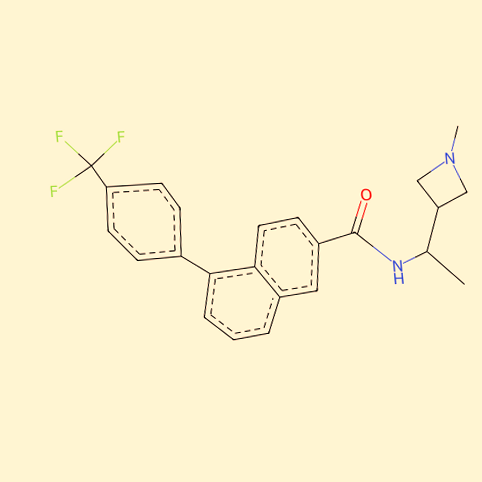 CC(NC(=O)c1ccc2c(-c3ccc(C(F)(F)F)cc3)cccc2c1)C1CN(C)C1